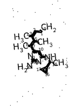 C=C/C=C(C)\C(C)=C(/C)c1cc(N[C@H](C)C2CC2)nc(N)n1